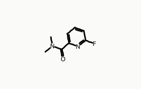 CN(C)C(=O)c1cccc(F)n1